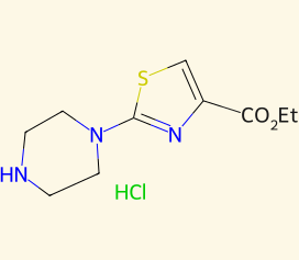 CCOC(=O)c1csc(N2CCNCC2)n1.Cl